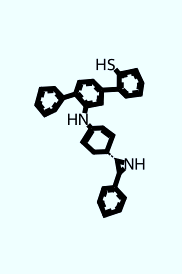 Sc1ccccc1-c1ccc(-c2ccccc2)c(NC2=CCC([C@@H]3NC3c3ccccc3)C=C2)c1